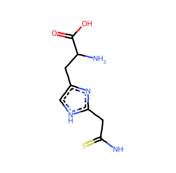 [NH]C(=S)Cc1nc(CC(N)C(=O)O)c[nH]1